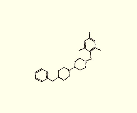 Cc1cc(C)c(SN2CCC(N3CCC(Cc4ccccc4)CC3)CC2)c(C)c1